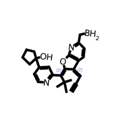 BCc1ccc2c(=C/C#C)/c(=C(/c3cc(C4(O)CCCC4)ccn3)C(C)(C)C)oc2n1